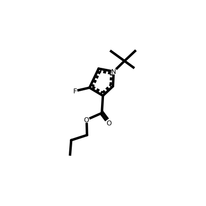 CCCOC(=O)c1cn(C(C)(C)C)cc1F